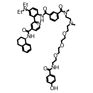 CCN(CC)c1ccc(NC(=O)c2cccc(C(=O)N(C)CCN(C)CCOCCOCCOCCNC(=O)c3ccc(O)cc3)c2)c(-c2cc(C(=O)N[C@H]3CCCc4ccccc43)ccn2)c1